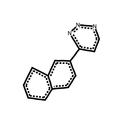 c1ccc2cc(-c3ccnnn3)ccc2c1